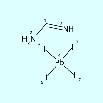 N=CN.[I][Pb]([I])([I])[I]